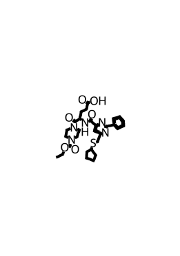 CCOC(=O)N1CCN(C(=O)C(CCC(=O)O)NC(=O)c2cc(CSC3CCCC3)nc(-c3ccccc3)n2)CC1